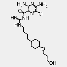 N=C(NCCCCC1CCC(OCCCO)CC1)NC(=O)c1nc(Cl)c(N)nc1N